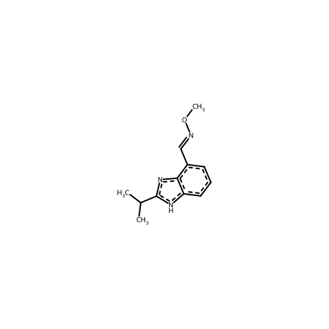 CON=Cc1cccc2[nH]c(C(C)C)nc12